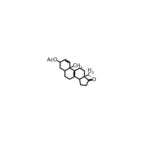 CC(=O)OC1C=C[C@]2(C)C3=C(CCC2C1)C1CCC(=O)[C@@]1(C)CC3